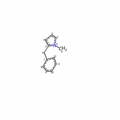 Cn1cccc1Cc1ccccc1